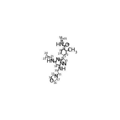 Cc1cc(-c2cnn3c(NCCN4CCOCC4)cc(NCC4CC4)nc23)ccc1C(=O)NC1CC1